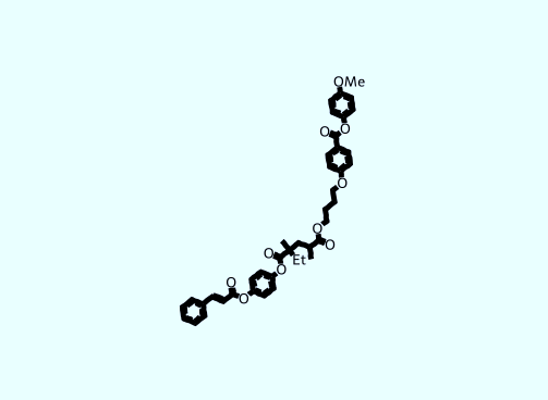 CCC(C)(CC(C)C(=O)OCCCCOc1ccc(C(=O)Oc2ccc(OC)cc2)cc1)C(=O)Oc1ccc(OC(=O)/C=C/c2ccccc2)cc1